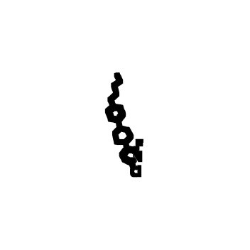 CCCCCc1ccc(C2CCC(c3ccc(Cl)nc3F)CC2)cc1